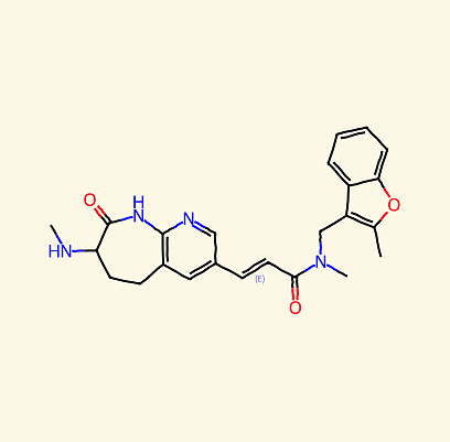 CNC1CCc2cc(/C=C/C(=O)N(C)Cc3c(C)oc4ccccc34)cnc2NC1=O